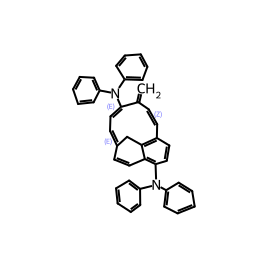 C=C1/C=C\c2ccc(N(c3ccccc3)c3ccccc3)c3c2C/C(=C\C=C/1N(c1ccccc1)c1ccccc1)C=C3